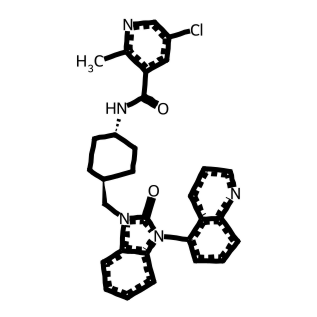 Cc1ncc(Cl)cc1C(=O)N[C@H]1CC[C@H](Cn2c(=O)n(-c3cccc4ncccc34)c3ccccc32)CC1